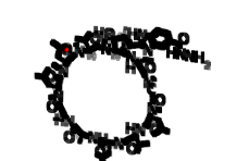 CC[C@@H]1NC(=O)[C@H]([C@H](O)[C@H](C)Cc2nc3cc(C(=O)NN)ccc3[nH]2)N(C)C(=O)[C@H](C(C)C)N(C)C(=O)[C@H](CC(C)C)N(C)C(=O)[C@H](CC(C)C)N(C)C(=O)[C@@H](C)NC(=O)[C@H](C)NC(=O)[C@H](CC(C)C)N(C)C(=O)[C@H](C(C)C)NC(=O)[C@H](CC(C)C)N(C)C(=O)CN(C)C1=O